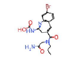 CCCN(CC(N)=O)C(=O)C1=Cc2ccc(Br)cc2N=C(NC(=O)O)C1